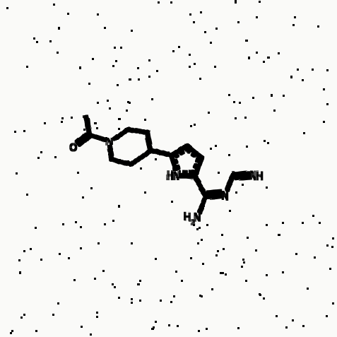 CC(=O)N1CCC(c2ccc(/C(N)=N\C=N)[nH]2)CC1